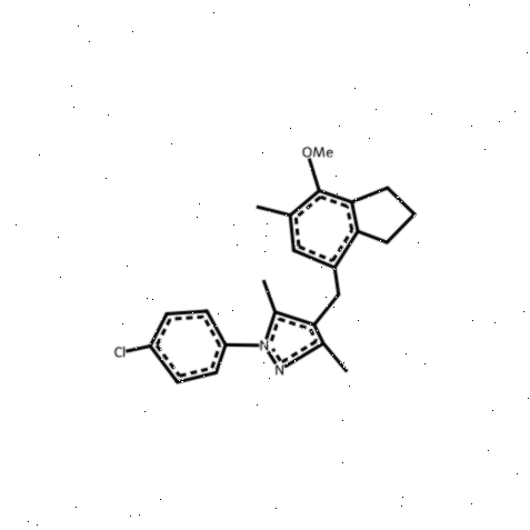 COc1c(C)cc(Cc2c(C)nn(-c3ccc(Cl)cc3)c2C)c2c1CCC2